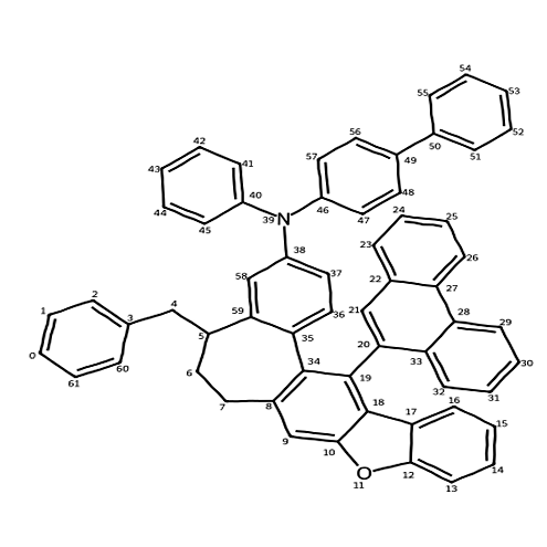 c1ccc(CC2CCc3cc4oc5ccccc5c4c(-c4cc5ccccc5c5ccccc45)c3-c3ccc(N(c4ccccc4)c4ccc(-c5ccccc5)cc4)cc32)cc1